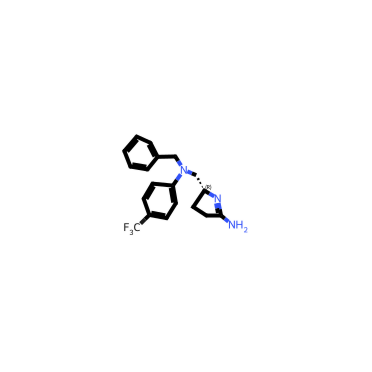 NC1=N[C@@H](CN(Cc2ccccc2)c2ccc(C(F)(F)F)cc2)CC1